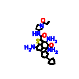 C=CC(=O)N1CCC(NC(=O)c2sc3c(N)ccc4c3c2C(N)C(=O)C4(N)c2cccc(-c3ccccc3)c2)C1